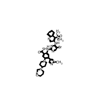 Cn1cc(-c2cc(Nc3ncc(Br)c(Nc4cnc5ccccc5c4P(C)(C)=O)n3)c(C(=O)S)cc2N2CCC(N3CCCOCC3)CC2)cn1